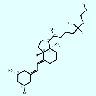 COCOC(C)(C)CCC[C@@H](C)[C@H]1CC[C@H]2/C(=C/C=C3C[C@@H](O)C[C@H](O)C3)CCC[C@]12C